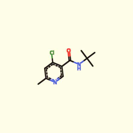 Cc1cc(Cl)c(C(=O)NC(C)(C)C)cn1